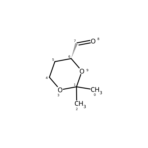 CC1(C)OCC[C@H](C=O)O1